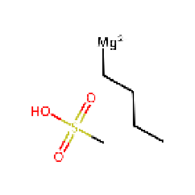 CCC[CH2][Mg+2].CS(=O)(=O)O